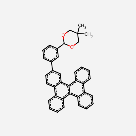 CC1(C)COB(c2cccc(-c3ccc4c5ccccc5c5c6ccccc6c6ccccc6c5c4c3)c2)OC1